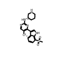 CS(=O)(=O)c1cccc2c(-c3nc(N[C@H]4CCCNC4)ncc3C(F)(F)F)c[nH]c12